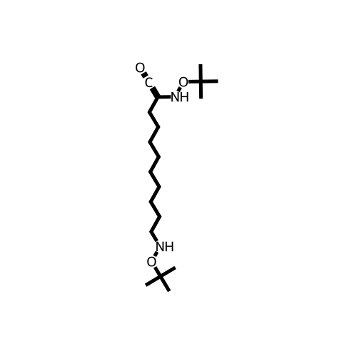 CC(C)(C)ONCCCCCCCCCC(=C=O)NOC(C)(C)C